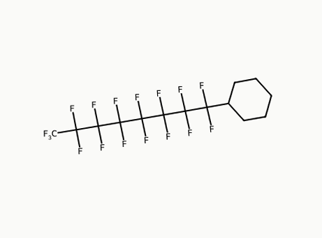 FC(F)(F)C(F)(F)C(F)(F)C(F)(F)C(F)(F)C(F)(F)C(F)(F)C(F)(F)C1CCCCC1